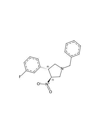 O=[N+]([O-])[C@@H]1CN(Cc2ccccc2)C[C@H]1c1cccc(F)c1